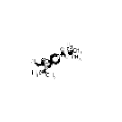 CC(C)N(CC1(O)CCN(C(=O)OC(C)(C)C)CC1)C(=O)CCl